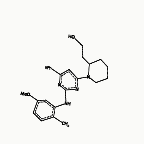 CCCc1cc(N2CCCCC2CCO)nc(Nc2cc(OC)ccc2C)n1